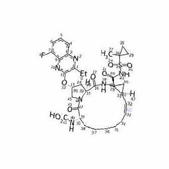 CCc1nc2cccc(F)c2nc1O[C@@H]1C[C@H]2C(=O)N[C@]3(C(=O)NS(=O)(=O)C4(C)CC4)C[C@H]3/C=C\CCCCC[C@H](NC(=O)O)C(=O)N2C1